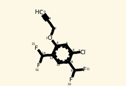 C#CCOc1[c]c(Cl)c(C(F)F)cc1C(F)F